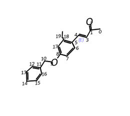 CC(=O)/C=C/c1ccc(OCc2ccccc2)cc1I